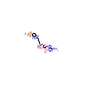 CC(C)N(CCCCc1nc2ccc(S(=O)(=O)C(F)(F)F)cc2[nH]1)C[C@H]1O[C@@H](n2cnc3c(N)ncnc32)[C@H](O)[C@@H]1O